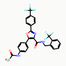 CC(=O)Nc1ccc(-c2oc(-c3ccc(C(F)(F)F)cc3)nc2C(=O)NCc2ccccc2C(F)(F)F)cc1